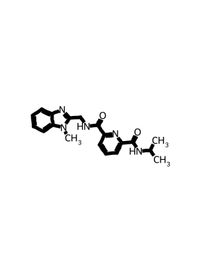 CC(C)NC(=O)c1cccc(C(=O)NCc2nc3ccccc3n2C)n1